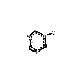 Cl[n+]1cncnc1